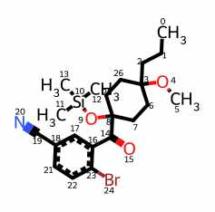 CCCC1(OC)CCC(O[Si](C)(C)C)(C(=O)c2cc(C#N)ccc2Br)CC1